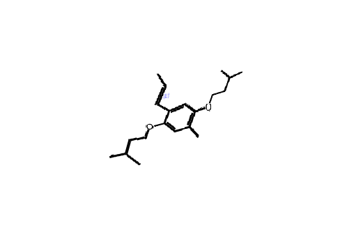 C/C=C/c1cc(OCCC(C)C)c(C)cc1OCCC(C)C